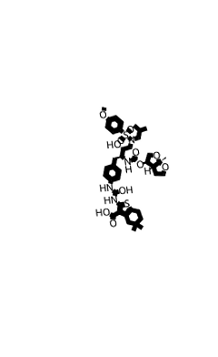 COc1ccc(S(=O)(=O)N(CC(C)C)C[C@@H](O)[C@H](Cc2ccc(NC(O)Nc3sc4c(c3C(=O)O)CC(C)(C)CC4)cc2)NC(=O)O[C@H]2CO[C@@]3(C)OCC[C@@H]23)cc1